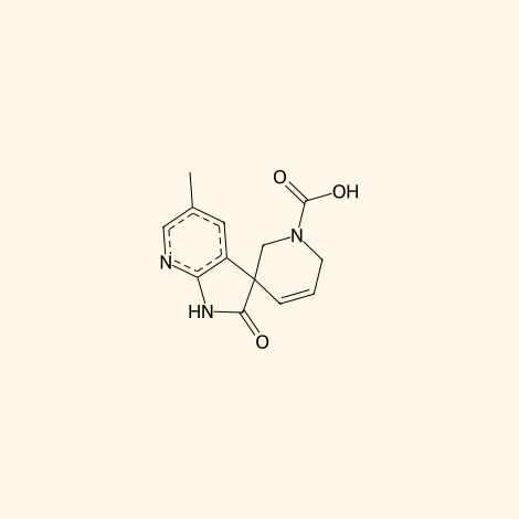 Cc1cnc2c(c1)C1(C=CCN(C(=O)O)C1)C(=O)N2